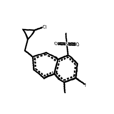 Cc1c(I)cc(S(C)(=O)=O)c2cc(CC3CC3Cl)ccc12